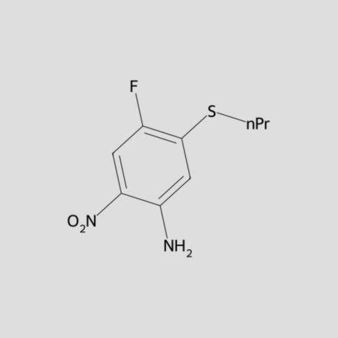 CCCSc1cc(N)c([N+](=O)[O-])cc1F